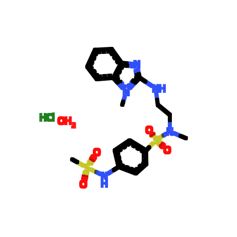 CN(CCNc1nc2ccccc2n1C)S(=O)(=O)c1ccc(NS(C)(=O)=O)cc1.Cl.O